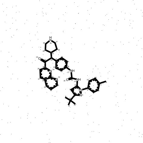 Cc1ccc(-n2nc(C(C)(C)C)cc2NC(=O)Nc2ccc(C(C(=O)c3ccc4cccnc4n3)C3CCNCC3)cc2)cc1